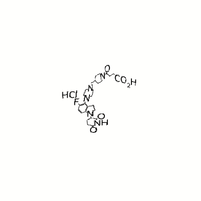 Cl.O=C(O)CCC(=O)N1CCC(CN2CCN(c3c(F)ccc4c3CCN4C3CCC(=O)NC3=O)CC2)CC1